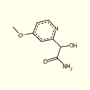 COc1ccnc(C(O)C(N)=O)c1